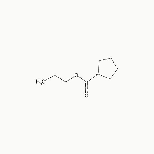 CCCOC(=O)[C]1CCCC1